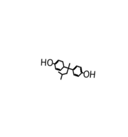 CC(C)CC(C)(c1ccc(O)cc1)C1C=CC(O)=CC1